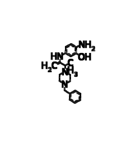 C=C(Nc1ccc(N)c(O)c1)C(C)N1CCN(Cc2ccccc2)CC1